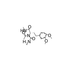 CNC(=O)[C@H](CCc1ccc(OC)c(OC)c1)N(C(C)=O)C(N)=O